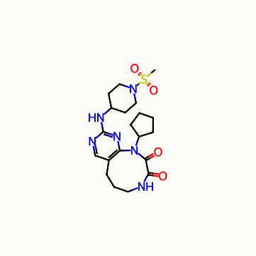 CS(=O)(=O)N1CCC(Nc2ncc3c(n2)N(C2CCCC2)C(=O)C(=O)NCCC3)CC1